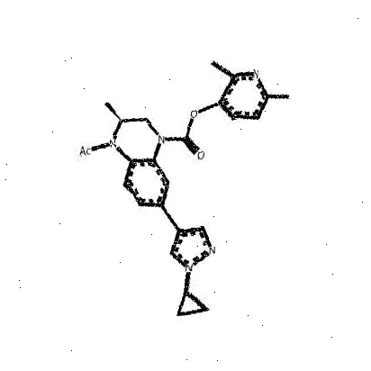 CC(=O)N1c2ccc(-c3cnn(C4CC4)c3)cc2N(C(=O)Oc2ccc(C)nc2C)C[C@@H]1C